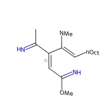 CCCCCCCCC=C(NC)/C(=C\C(=N)OC)C(C)=N